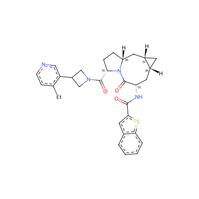 CCc1ccncc1C1CN(C(=O)[C@@H]2CC[C@@H]3C[C@@H]4C[C@@H]4C[C@H](NC(=O)c4cc5ccccc5s4)C(=O)N32)C1